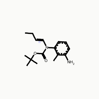 CC/C=C/N(C(=O)OC(C)(C)C)c1cccc(N)c1C